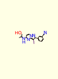 C[C@@H](CO)Nc1ccn2nc(-c3cccc(C#N)c3)c(I)c2n1